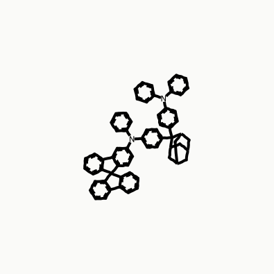 c1ccc(N(c2ccccc2)c2ccc(C3(c4ccc(N(c5ccccc5)c5ccc6c(c5)-c5ccccc5C65c6ccccc6-c6ccccc65)cc4)C4CC5CC(C4)CC3C5)cc2)cc1